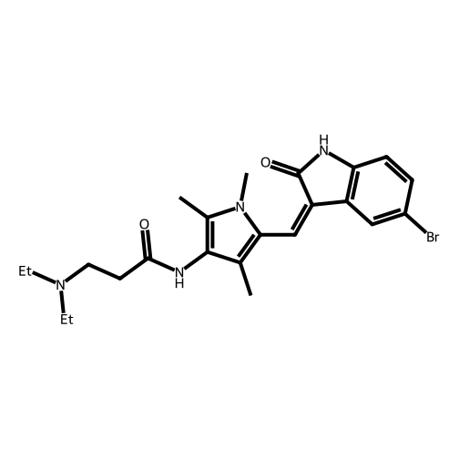 CCN(CC)CCC(=O)Nc1c(C)c(/C=C2\C(=O)Nc3ccc(Br)cc32)n(C)c1C